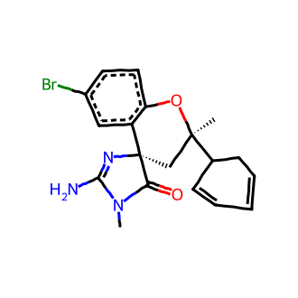 CN1C(=O)[C@@]2(C[C@](C)(C3C=CC=CC3)Oc3ccc(Br)cc32)N=C1N